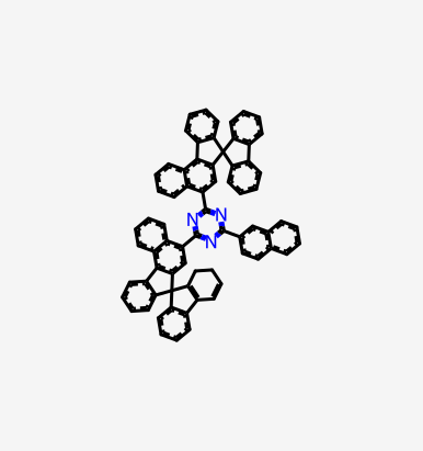 C1=CC2=C(CC1)C1(c3ccccc32)c2ccccc2-c2c1cc(-c1nc(-c3ccc4ccccc4c3)nc(-c3cc4c(c5ccccc35)-c3ccccc3C43c4ccccc4-c4ccccc43)n1)c1ccccc21